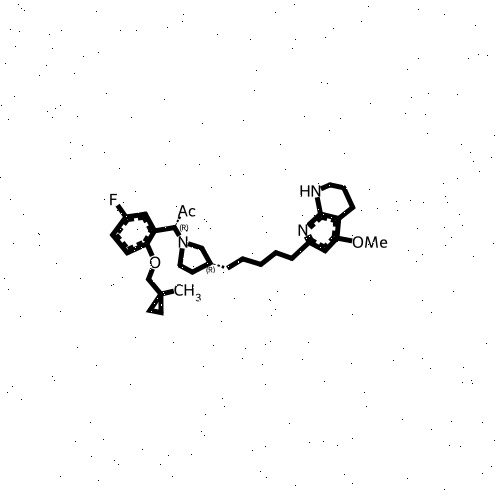 COc1cc(CCCCC[C@@H]2CCN([C@@H](C(C)=O)c3cc(F)ccc3OCC3(C)CC3)C2)nc2c1CCCN2